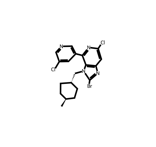 C[C@H]1CC[C@H](Cn2c(Br)nc3cc(Cl)nc(-c4cncc(Cl)c4)c32)CC1